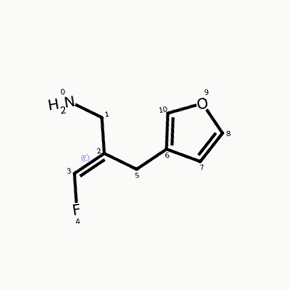 NC/C(=C/F)Cc1ccoc1